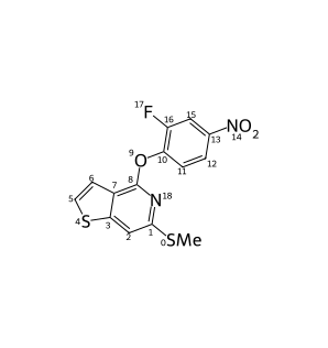 CSc1cc2sccc2c(Oc2ccc([N+](=O)[O-])cc2F)n1